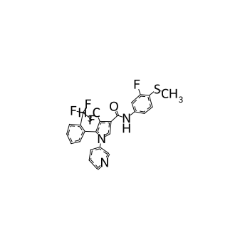 CSc1ccc(NC(=O)c2cn(-c3cccnc3)c(-c3ccccc3C(F)(F)F)c2C)cc1F